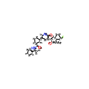 CNC(=O)c1c(-c2ccc(F)cc2)oc2ncc(-c3cccc(C(=O)NC4(c5ccccc5)CC4)c3)cc12